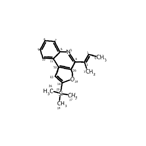 C/C=C(\C)c1nc2ccccc2c2cc([Si](C)(C)C)oc12